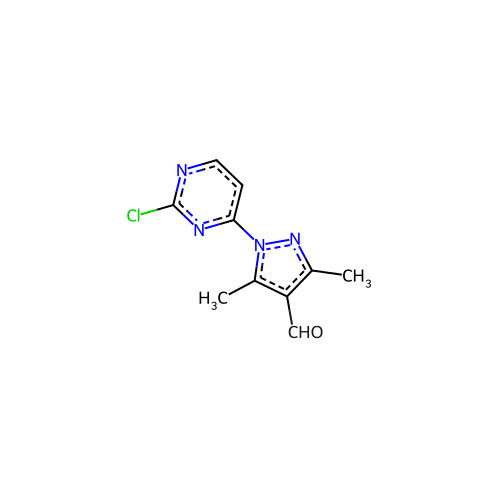 Cc1nn(-c2ccnc(Cl)n2)c(C)c1C=O